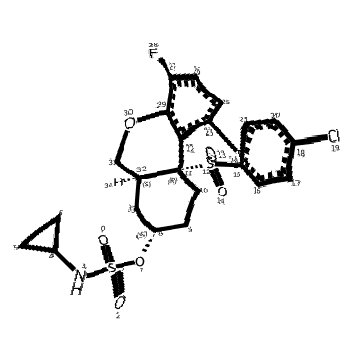 O=S(=O)(NC1CC1)O[C@H]1CC[C@]2(S(=O)(=O)c3ccc(Cl)cc3)c3c(F)ccc(F)c3OC[C@@H]2C1